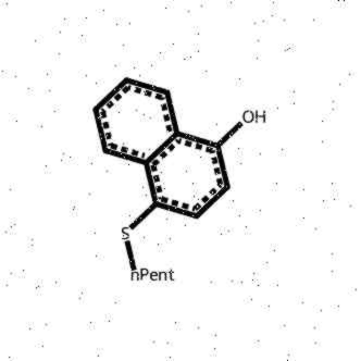 CCCCCSc1ccc(O)c2ccccc12